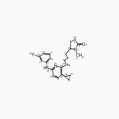 CN1C(=O)NCC1CCCNc1nc(Nc2cccc(F)c2)ncc1C1CC1